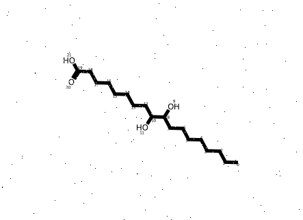 CCCCCCCCC(O)C(O)CCCCCCCC(=O)O